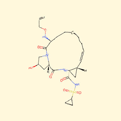 CC(C)(C)CON[C@H]1CCCCC/C=C\[C@@H]2C[C@@]2(C(=O)NS(=O)(=O)C2CC2)NC(=O)[C@@H]2C[C@@H](O)CN2C1=O